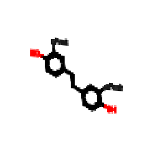 CCCCCc1cc(C=Cc2ccc(O)c(CCCCC)c2)ccc1O